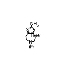 Br.Br.CC(C)N1CCc2cc(N)sc2CC1